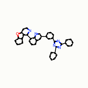 c1ccc(-c2nc(-c3ccccc3)nc(-c3cccc(-c4cnc5c(-c6nccc7oc8ccccc8c67)cccc5c4)c3)n2)cc1